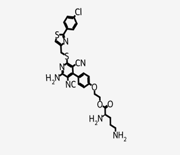 [C-]#[N+]c1c(N)nc(SCc2csc(-c3ccc(Cl)cc3)n2)c(C#N)c1-c1ccc(OCCOC(=O)[C@H](N)CCCN)cc1